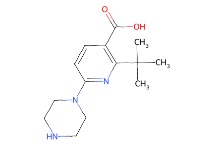 CC(C)(C)c1nc(N2CCNCC2)ccc1C(=O)O